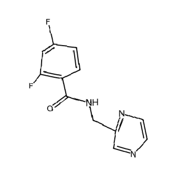 O=C(NCc1cnccn1)c1ccc(F)cc1F